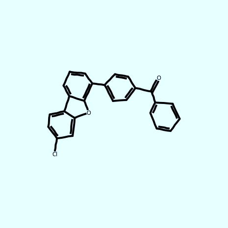 O=C(c1ccccc1)c1ccc(-c2cccc3c2oc2cc(Cl)ccc23)cc1